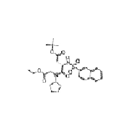 CCOC(=O)CN(C(=O)[C@H](CC(=O)OC(C)(C)C)NS(=O)(=O)c1ccc2ccccc2c1)C1CCCC1